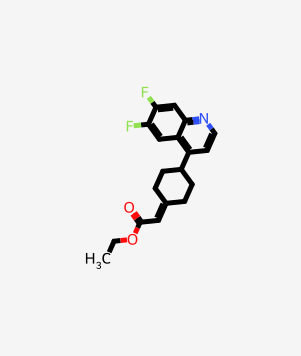 CCOC(=O)C=C1CCC(c2ccnc3cc(F)c(F)cc23)CC1